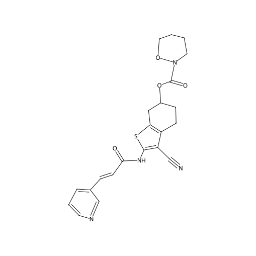 N#Cc1c(NC(=O)/C=C/c2cccnc2)sc2c1CCC(OC(=O)N1CCCCO1)C2